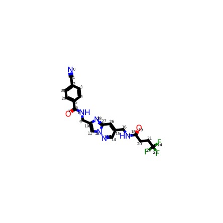 N#Cc1ccc(C(=O)NCc2cn3ncc(CNC(=O)CCC(F)(F)F)cc3n2)cc1